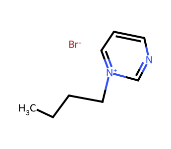 CCCC[n+]1cccnc1.[Br-]